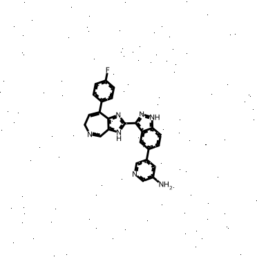 Nc1cncc(-c2ccc3[nH]nc(-c4nc5c([nH]4)C=NCC=C5c4ccc(F)cc4)c3c2)c1